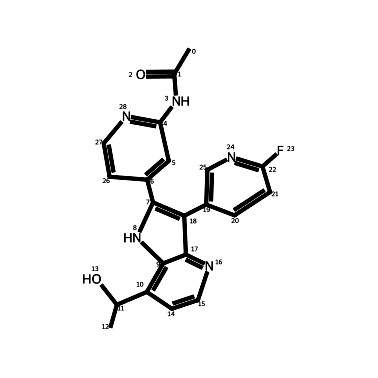 CC(=O)Nc1cc(-c2[nH]c3c(C(C)O)ccnc3c2-c2ccc(F)nc2)ccn1